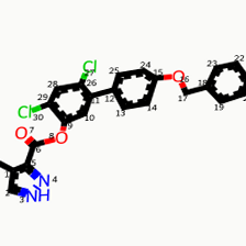 Cc1c[nH]nc1C(=O)Oc1cc(-c2ccc(OCc3ccccc3)cc2)c(Cl)cc1Cl